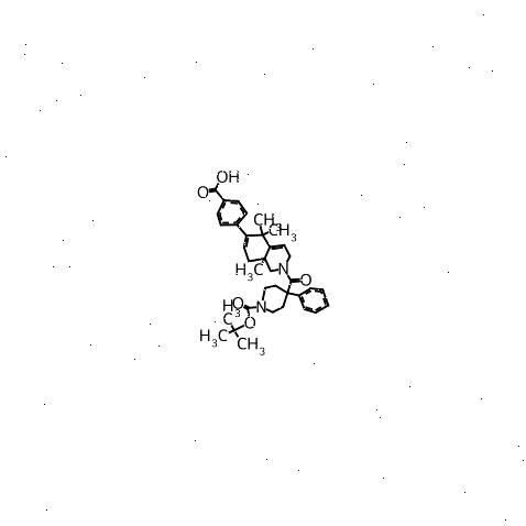 CC(C)(C)OC(=O)N1CCC(C(=O)N2CC=C3C(C)(CC=C(c4ccc(C(=O)O)cc4)C3(C)C)C2)(c2ccccc2)CC1